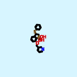 OS1(O)CC(Sc2ccccc2)c2cccc(OCc3cccnc3)c21